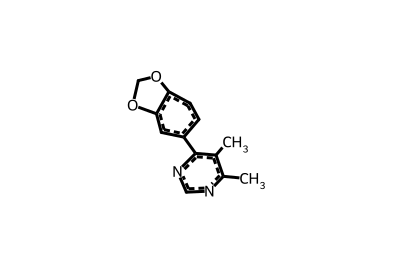 Cc1ncnc(-c2ccc3c(c2)OCO3)c1C